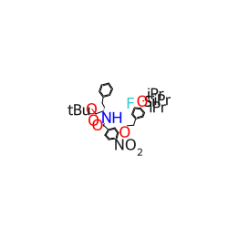 CC(C)[Si](Oc1ccc(CCOc2cc(C(=O)N[C@@H](CCc3ccccc3)C(=O)OC(C)(C)C)ccc2[N+](=O)[O-])cc1F)(C(C)C)C(C)C